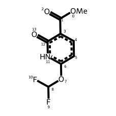 COC(=O)c1ccc(OC(F)F)[nH]c1=O